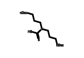 CCCCCCCCCCCCCN(CCCCCCCCCCCCC)C(=S)S